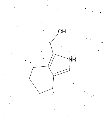 OCc1[nH]cc2c1CCCC2